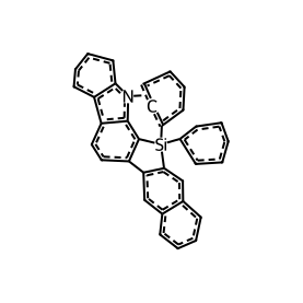 Cn1c2ccccc2c2ccc3c(c21)[Si](c1ccccc1)(c1ccccc1)c1cc2ccccc2cc1-3